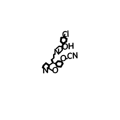 N#CCOc1ccc2c(c1)C(=CCCN1CCC(O)(c3ccc(Cl)cc3)CC1)c1cccnc1CO2